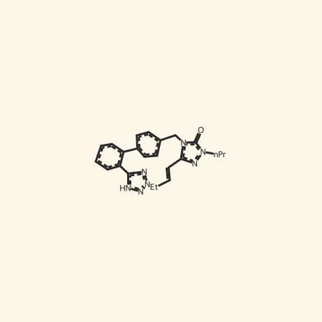 CCC=Cc1nn(CCC)c(=O)n1Cc1ccc(-c2ccccc2-c2nnn[nH]2)cc1